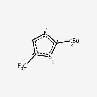 CC(C)(C)c1ncc(C(F)(F)F)s1